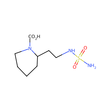 NS(=O)(=O)NCCC1CCCCN1C(=O)O